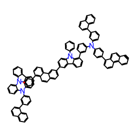 c1ccc2c(c#1)ccc1c(-c3ccc(N(c4cccc(-c5cccc6ccccc56)c4)c4cccc(-c5cccc6c7cc(-c8ccc9ccc%10c(-c%11ccc(N(c%12cccc(-c%13cccc%14ccccc%13%14)c%12)c%12ccccc%12-n%12c%13ccccc%13c%13ccccc%13%12)cc%11)cccc%10c9c8)ccc7n(-c7ccccc7)c56)c4)cc3)cccc12